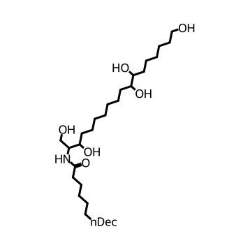 CCCCCCCCCCCCCCCC(=O)NC(CO)C(O)CCCCCCCC(O)C(O)CCCCCCO